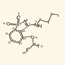 CCCCNC1=NS(=O)(=O)c2cccc(OC(F)F)c21